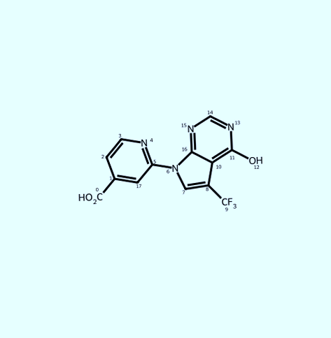 O=C(O)c1ccnc(-n2cc(C(F)(F)F)c3c(O)ncnc32)c1